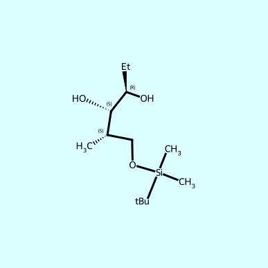 CC[C@@H](O)[C@@H](O)[C@@H](C)CO[Si](C)(C)C(C)(C)C